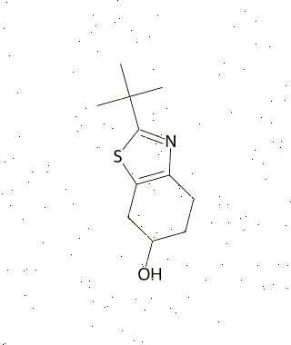 CC(C)(C)c1nc2c(s1)CC(O)CC2